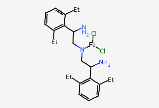 CCc1cccc(CC)c1C(N)C[N](CC(N)c1c(CC)cccc1CC)[Fe]([Cl])[Cl]